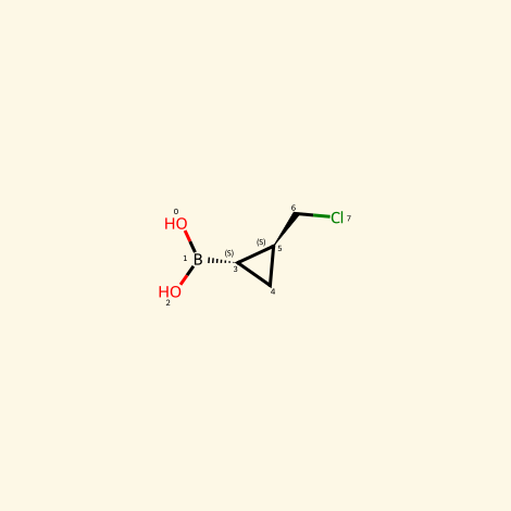 OB(O)[C@H]1C[C@@H]1CCl